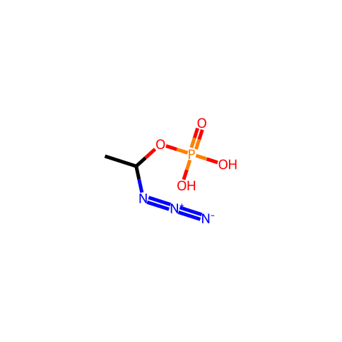 CC(N=[N+]=[N-])OP(=O)(O)O